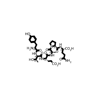 C[C@@H](NC(=O)[C@H](CCC(=O)O)NC(=O)[C@H](NC(=O)[C@H](N)Cc1ccc(O)cc1)[C@@H](C)O)C(=O)N1CCC[C@H]1C(=O)N[C@@H](CCC(N)=O)C(=O)O